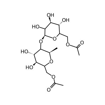 CC(=O)OCC1O[C@@H](OC2[C@@H](O)[C@H](O)C(COC(C)=O)O[C@@H]2C)C(O)[C@@H](O)[C@@H]1O